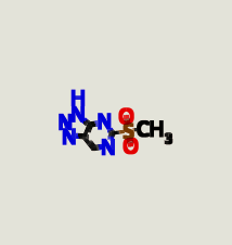 CS(=O)(=O)c1ncc2nn[nH]c2n1